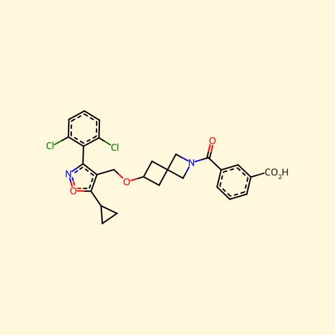 O=C(O)c1cccc(C(=O)N2CC3(CC(OCc4c(-c5c(Cl)cccc5Cl)noc4C4CC4)C3)C2)c1